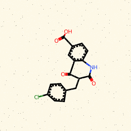 O=C(O)c1ccc2c(c1)C(=O)C(Cc1ccc(Cl)cc1)C(=O)N2